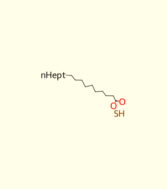 CCCCCCCCCCCCCCCCC(=O)OS